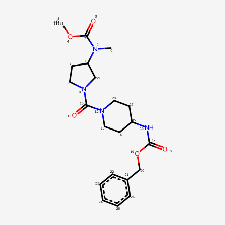 CN(C(=O)OC(C)(C)C)C1CCN(C(=O)N2CCC(NC(=O)OCc3ccccc3)CC2)C1